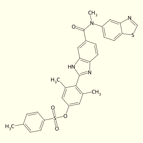 Cc1ccc(S(=O)(=O)Oc2cc(C)c(-c3nc4ccc(C(=O)N(C)c5ccc6scnc6c5)cc4[nH]3)c(C)c2)cc1